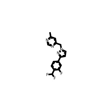 Cc1cc(Cn2ccc(-c3ccc(C(F)F)c(F)c3)n2)ncn1